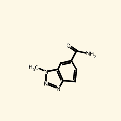 Cn1nnc2ccc(C(N)=O)cc21